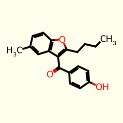 CCCCc1oc2ccc(C)cc2c1C(=O)c1ccc(O)cc1